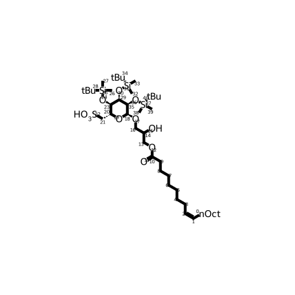 CCCCCCCC/C=C\CCCCCCCC(=O)OCC(O)CO[C@H]1O[C@H](CS(=O)(=O)O)[C@@H](O[Si](C)(C)C(C)(C)C)[C@H](O[Si](C)(C)C(C)(C)C)[C@H]1O[Si](C)(C)C(C)(C)C